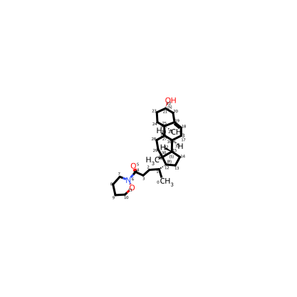 CC(CCC(=O)N1CCCCO1)[C@H]1CC[C@H]2[C@@H]3CC=C4C[C@@H](O)CC[C@]4(C)[C@H]3CC[C@]12C